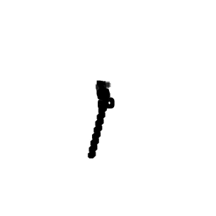 CCCCCCCCCCCCCCCCOC(=O)c1ccc([N+](C)(C)C)cc1